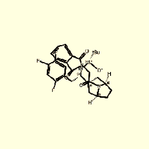 CC(C)(C)[S@+]([O-])N[C@@H](Cc1cc(F)c(F)cc1F)[C@@H]1C[C@H]2CC[C@@H](C1)N2C(=O)CN1C(=O)c2ccccc2C1=O